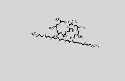 COCC(C)OCC(C)OCC(C)OCC(C)OCC(C)OCC(C)OCC(C)OCC(C)OC.COCCOCCOCCOCCOCCOCCOCCOCCOC